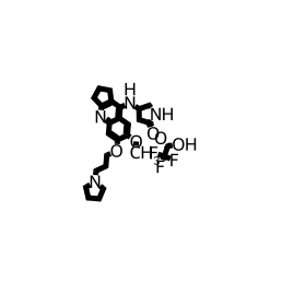 COc1cc2c(NC3CNC(=O)C3)c3c(nc2cc1OCCCN1CCCC1)CCC3.O=C(O)C(F)(F)F